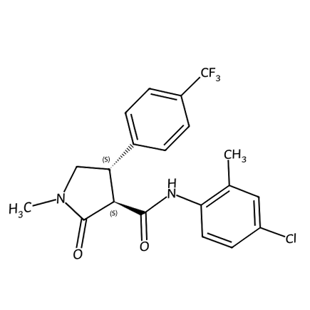 Cc1cc(Cl)ccc1NC(=O)[C@H]1C(=O)N(C)C[C@@H]1c1ccc(C(F)(F)F)cc1